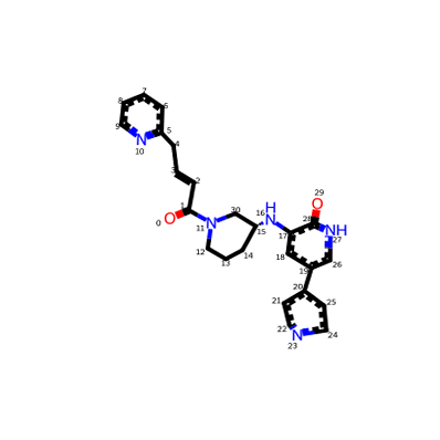 O=C(C=CCc1ccccn1)N1CCC[C@@H](Nc2cc(-c3ccncc3)c[nH]c2=O)C1